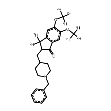 [2H]C([2H])([2H])Oc1cc2c(cc1OC([2H])([2H])[2H])C([2H])([2H])C(CC1CCN(Cc3ccccc3)CC1)C2=O